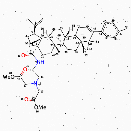 C=C(C)[C@@H]1CC[C@]2(C(=O)NCCN(CC(=O)OC)CC(=O)OC)CC[C@]3(C)[C@H](CC[C@@H]4[C@@]5(C)CC=C(c6ccc(C)cc6)C(C)(C)[C@@H]5CC[C@]43C)[C@@H]12